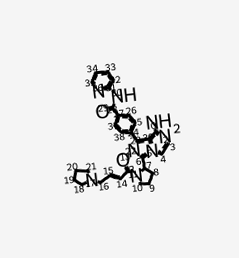 Nc1nccn2c(C3CCCN3C(=O)C=CCN3CCCC3)nc(-c3ccc(C(=O)Nc4ccccn4)cc3)c12